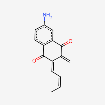 C=C1C(=O)c2cc(N)ccc2C(=O)/C1=C/C=C\C